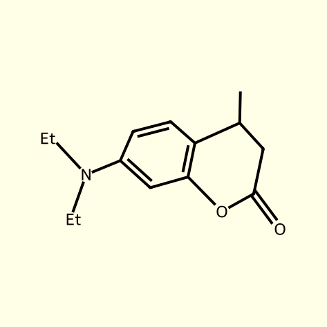 CCN(CC)c1ccc2c(c1)OC(=O)CC2C